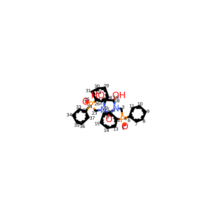 O=C1N(CP(=O)(c2ccccc2)c2ccccc2)C(O)C(O)N1CP(=O)(c1ccccc1)c1ccccc1